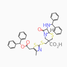 Cc1nc(SCC2(C(=O)O)CS[C@@H]3[C@H](NC(c4ccccc4)c4ccccc4)C(=O)N3C2)sc1CC(=O)OC(c1ccccc1)c1ccccc1